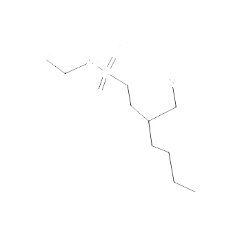 CCCCC(CN)CCS(=O)(=O)NCC